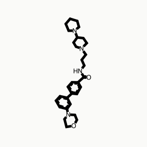 O=C(NCCCN1CCC(N2CCCCC2)CC1)c1ccc(-c2cccc(N3CCOCC3)c2)cc1